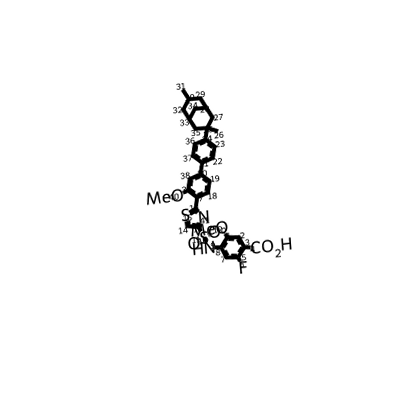 COc1cc(C(=O)O)c(F)cc1NS(=O)(=O)c1csc(-c2ccc(-c3ccc(C4(C)CC5CC(C)CC(C5)C4)cc3)cc2OC)n1